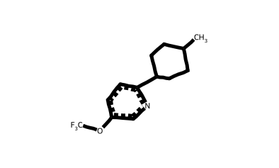 CC1CCC(c2ccc(OC(F)(F)F)cn2)CC1